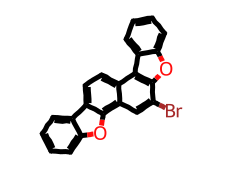 Brc1cc2c(ccc3c4ccccc4oc32)c2c1oc1ccccc12